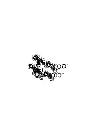 CCOC(Cc1ccc(OCCn2c(CC)nc(-c3ccccc3)cc2=O)cc1)C(=O)[O-].CCOC(Cc1ccc(OCCn2c(CC)nc(-c3ccccc3)cc2=O)cc1)C(=O)[O-].[Mg+2]